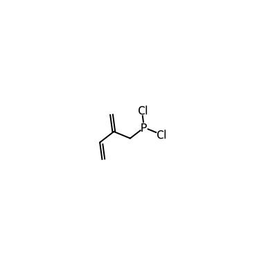 C=CC(=C)CP(Cl)Cl